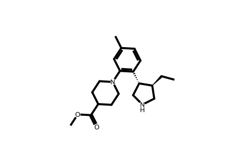 CC[C@H]1CNC[C@@H]1c1ccc(C)cc1N1CCC(C(=O)OC)CC1